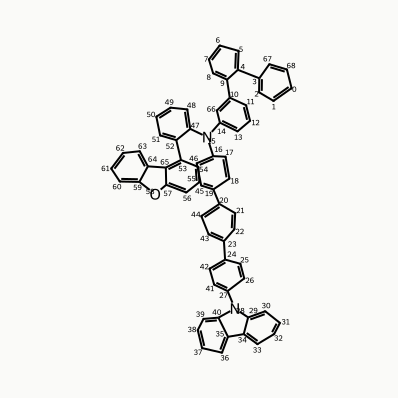 c1ccc(-c2ccccc2-c2cccc(N(c3ccc(-c4ccc(-c5ccc(-n6c7ccccc7c7ccccc76)cc5)cc4)cc3)c3ccccc3-c3cccc4oc5ccccc5c34)c2)cc1